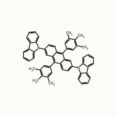 Cc1cc(-c2c3ccc(-n4c5ccccc5c5ccccc54)cc3c(-c3cc(C)c(C)c(C)c3)c3ccc(-n4c5ccccc5c5ccccc54)cc23)cc(C)c1C